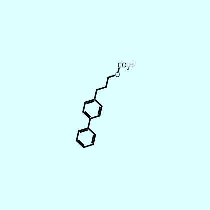 O=C(O)OCCCc1ccc(-c2ccccc2)cc1